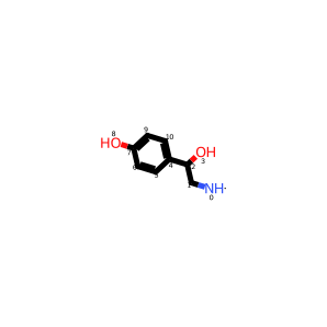 [NH]CC(O)c1ccc(O)cc1